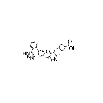 Cc1nc(C)n(Cc2ccc(-c3ccccc3-c3nnn[nH]3)cc2)c(=O)c1Cc1ccc(C(=O)O)cc1